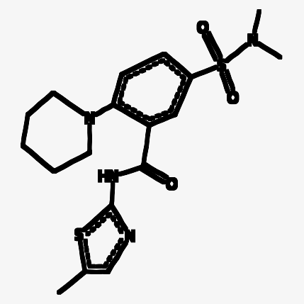 Cc1cnc(NC(=O)c2cc(S(=O)(=O)N(C)C)ccc2N2CCCCC2)s1